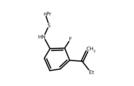 C=C(CC)c1cccc(NSCCC)c1F